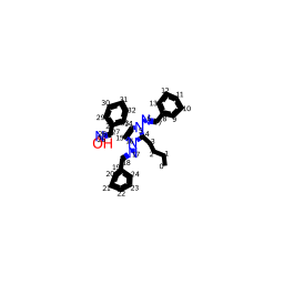 CCCCC1N(N=Cc2ccccc2)C=CN1N=Cc1ccccc1.ON=Cc1ccccc1